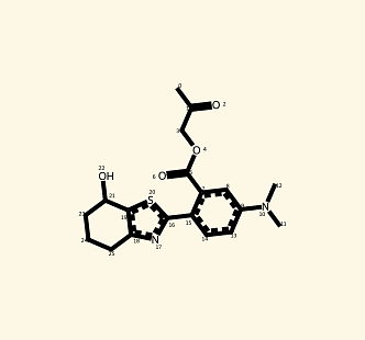 CC(=O)COC(=O)c1cc(N(C)C)ccc1-c1nc2c(s1)C(O)CCC2